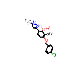 CCCc1c(OCc2ccc(Cl)cc2)ccc(-c2cc(C(F)(F)F)n[nH]2)c1O